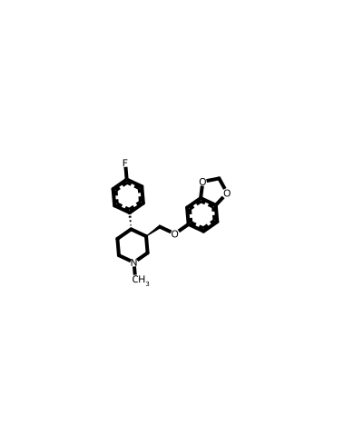 CN1CC[C@H](c2ccc(F)cc2)[C@@H](COc2ccc3c(c2)OCO3)C1